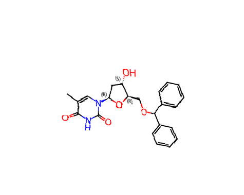 Cc1cn([C@H]2C[C@H](O)[C@@H](COC(c3ccccc3)c3ccccc3)O2)c(=O)[nH]c1=O